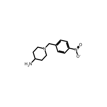 NC1CCN(Cc2ccc([N+](=O)[O-])cc2)CC1